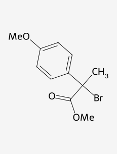 COC(=O)C(C)(Br)c1ccc(OC)cc1